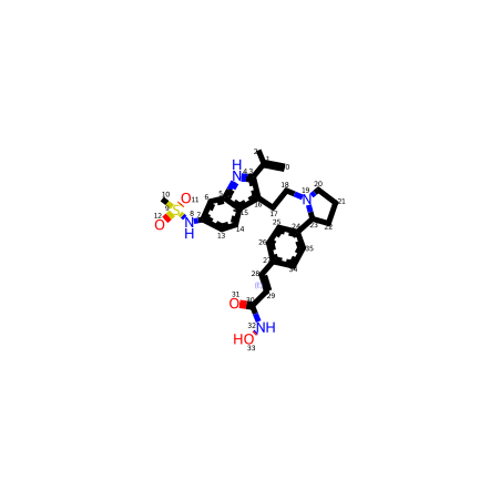 C=C(C)c1[nH]c2cc(NS(C)(=O)=O)ccc2c1CCN1CCCC1c1ccc(/C=C/C(=O)NO)cc1